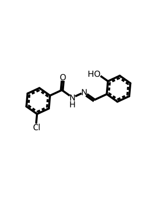 O=C(N/N=C/c1ccccc1O)c1cccc(Cl)c1